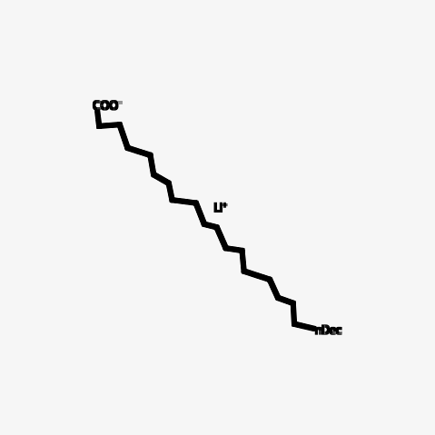 CCCCCCCCCCCCCCCCCCCCCCCCCCCC(=O)[O-].[Li+]